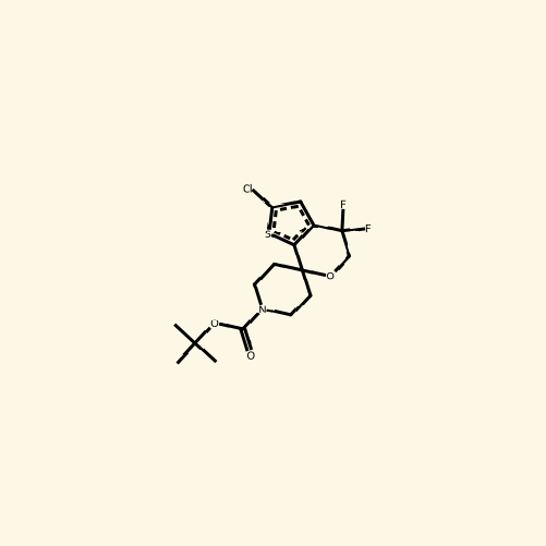 CC(C)(C)OC(=O)N1CCC2(CC1)OCC(F)(F)c1cc(Cl)sc12